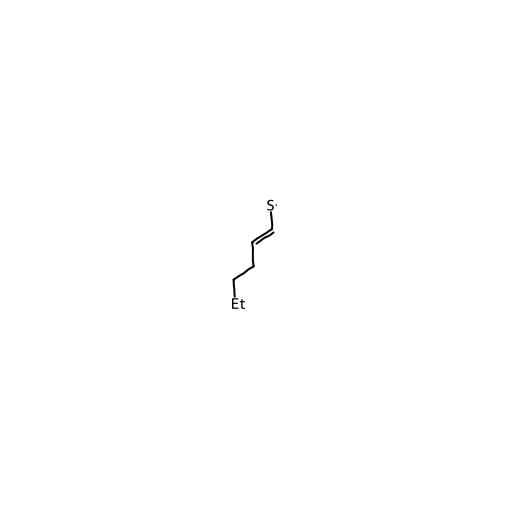 [CH2]CCCC=C[S]